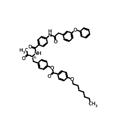 CCCCCCCOc1ccc(C(=O)Oc2ccc(C[C@H](NC(=O)c3ccc(NC(=O)Cc4cccc(Oc5ccccc5)c4)cc3)C(C)=O)cc2)cc1